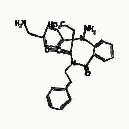 NCc1ccc(C2(CC(=O)O)C(=C=O)N(CCc3ccccc3)C(=O)c3ccccc3N2N)cc1